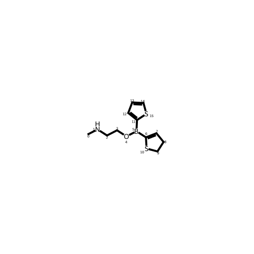 CNCCOB(C1=CCCS1)c1cccs1